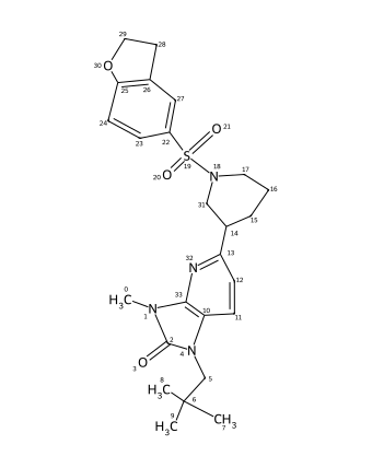 Cn1c(=O)n(CC(C)(C)C)c2ccc(C3CCCN(S(=O)(=O)c4ccc5c(c4)CCO5)C3)nc21